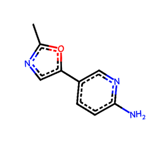 Cc1ncc(-c2ccc(N)nc2)o1